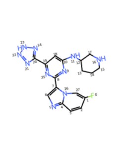 Fc1ccc2ncc(-c3nc(NC4CCCNC4)cc(-c4nn[nH]n4)n3)n2c1